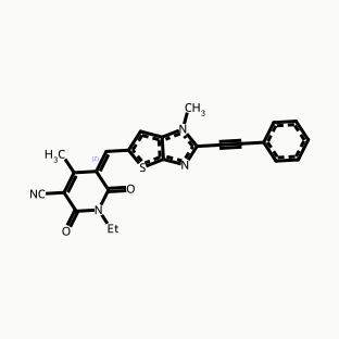 CCN1C(=O)C(C#N)=C(C)/C(=C/c2cc3c(nc(C#Cc4ccccc4)n3C)s2)C1=O